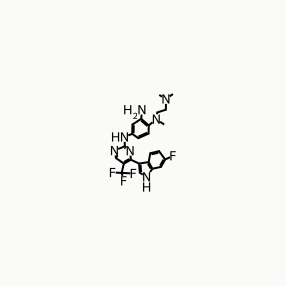 CN(C)CCN(C)c1ccc(Nc2ncc(C(F)(F)F)c(-c3c[nH]c4cc(F)ccc34)n2)cc1N